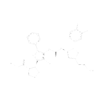 COCCN1C[C@@H](NC(=O)Nc2c(Br)c([C@H]3CCCN3C(=O)OC(C)(C)C)nn2-c2ccccc2)[C@H](c2ccc(F)c(F)c2)C1